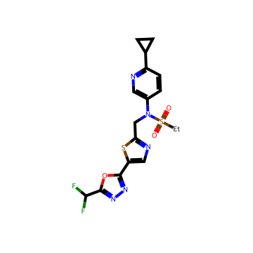 CCS(=O)(=O)N(Cc1ncc(-c2nnc(C(F)F)o2)s1)c1ccc(C2CC2)nc1